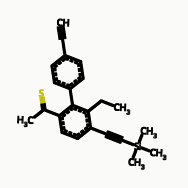 C#Cc1ccc(-c2c(C(C)=S)ccc(C#C[Si](C)(C)C)c2CC)cc1